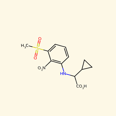 CS(=O)(=O)c1cccc(NC(C(=O)O)C2CC2)c1[N+](=O)[O-]